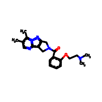 Cc1cnc2c3c(nn2c1C)CN(C(=O)c1ccccc1OCCN(C)C)C3